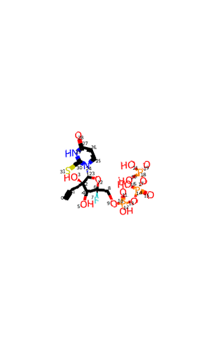 C#C[C@@]1(O)C(O)[C@@](F)(COP(=O)(O)OP(=O)(O)OP(=O)(O)O)O[C@H]1n1ccc(=O)[nH]c1=S